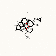 CO[C@]12CC[C@@]3(C[C@]1(C)[C@H](O)c1ccsc1)[C@H]1Cc4ccc(O)c5c4[C@@]3(CCN1CC1CC1)[C@H]2O5